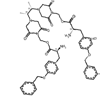 C[C@H]([C@H](C)N1CC(=O)N(COC(=O)[C@@H](N)Cc2ccc(OCc3ccccc3)cc2)C(=O)C1)N1CC(=O)N(COC(=O)[C@@H](N)Cc2ccc(OCc3ccccc3)cc2)C(=O)C1.Cl